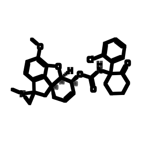 COc1ccc2c3c1O[C@H]1[C@@H](OC(=O)NC4(c5ccccc5Cl)CCCCC4=O)C=CC[C@@]31CC21CN1C